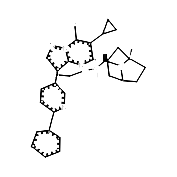 Nc1c(C2CC2)c([C@H]2CC3CC[C@@H](C2)N3C(=O)NCCO)nc2c(-c3ccc(-c4ccccc4)nc3)cnn12